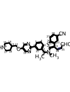 C[C@@H](c1cccc(-c2ncc(OCC3CCNCC3)cn2)c1)N(C)c1sc2ccc(C#N)cc2c1/C=C\C=O